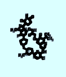 CNC(=O)COc1cc2cc(Nc3nc(N4CC[C@H](CN5CCC(c6ccc7c(C8CCC(=O)NC8=O)nn(C)c7c6F)CC5)[C@H](C)C4)ncc3Cl)cnc2n(C(C)C)c1=O